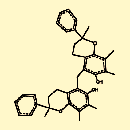 Cc1c(C)c2c(c(Cc3c(O)c(C)c(C)c4c3CCC(C)(c3ccccc3)O4)c1O)CCC(C)(c1ccccc1)O2